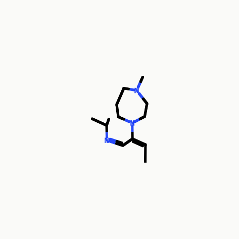 C/C=C(\C=N/C(C)C)N1CCCN(C)CC1